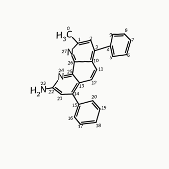 Cc1cc(-c2ccccc2)c2ccc3c(-c4ccccc4)cc(N)nc3c2n1